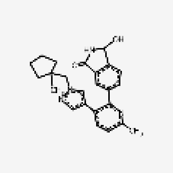 Cc1ccc(-c2cnn(CC3(C)CCCC3)c2)c(-c2ccc3c(c2)C(=O)NC3O)n1